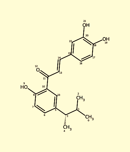 CC(C)[C@H](C)c1ccc(O)c(C(=O)/C=C/c2ccc(O)c(O)c2)c1